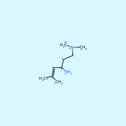 CC(C)=CC(N)CCN(C)C